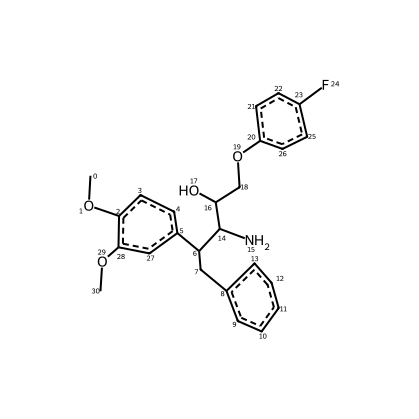 COc1ccc(C(Cc2ccccc2)C(N)C(O)COc2ccc(F)cc2)cc1OC